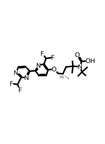 C[C@H](COc1ccc(-c2ccnc(C(F)F)n2)nc1C(F)F)CC(C)(C)N(C(=O)O)C(C)(C)C